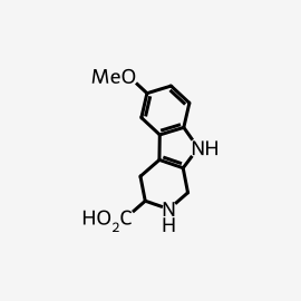 COc1ccc2[nH]c3c(c2c1)CC(C(=O)O)NC3